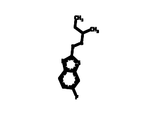 CCC(C)SSc1nc2ccc(F)cc2s1